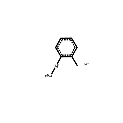 CCC[CH2][Al+][c]1ccccc1C.[H-]